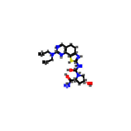 CCN(CC)c1ncc2c(n1)-c1sc(NC(=O)N3C[C@H](O)C[C@H]3C(N)=O)nc1CC2